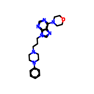 c1ccc(N2CCN(CCCn3cnc4c(N5CCOCC5)ncnc43)CC2)cc1